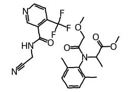 COCC(=O)N(c1c(C)cccc1C)C(C)C(=O)OC.N#CCNC(=O)c1cnccc1C(F)(F)F